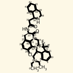 CCN(CC)CC(c1ccccc1C(F)(F)F)N1CCN(C(=O)[C@@H](Cc2ccc(Cl)cc2)NC(=O)CC2NCCc3ccccc32)CC1